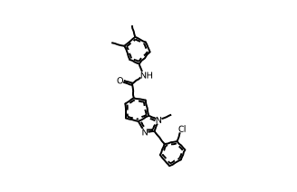 Cc1ccc(NC(=O)c2ccc3nc(-c4ccccc4Cl)n(C)c3c2)cc1C